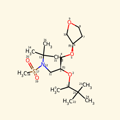 CC(O[C@H](CO[C@@H]1CCOC1)CN(C(C)(C)C)S(C)(=O)=O)C(C)(C)C